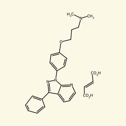 CN(C)CCCOc1ccc(-n2nc(-c3ccccc3)c3cccnc32)cc1.O=C(O)C=CC(=O)O